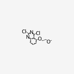 COCCOc1cccc2nc(Cl)nc(Cl)c12